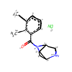 Cc1cccc(C(=O)N2CC3CC2CN3)c1C.Cl